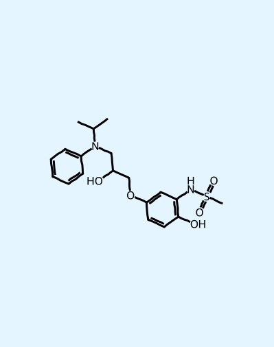 CC(C)N(CC(O)COc1ccc(O)c(NS(C)(=O)=O)c1)c1ccccc1